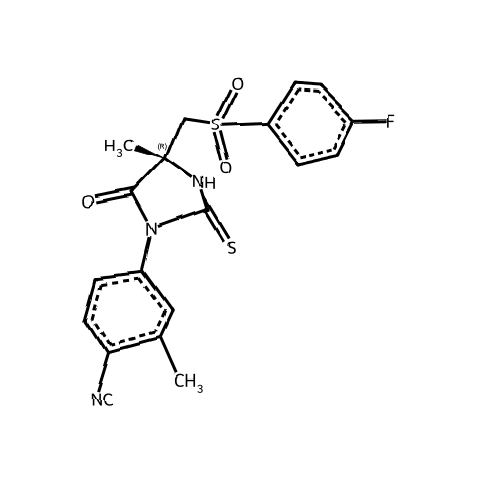 [C-]#[N+]c1ccc(N2C(=O)[C@](C)(CS(=O)(=O)c3ccc(F)cc3)NC2=S)cc1C